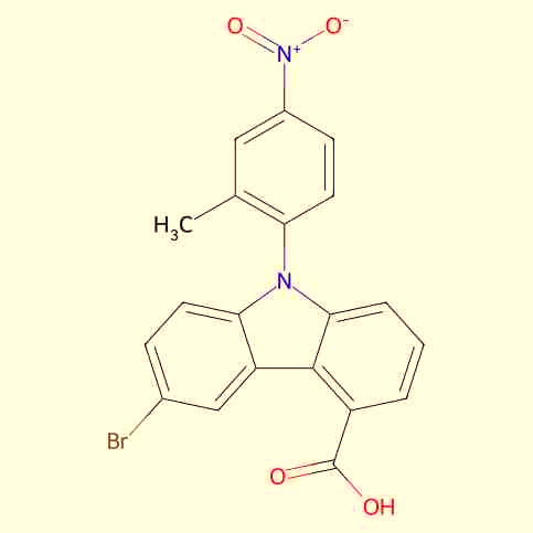 Cc1cc([N+](=O)[O-])ccc1-n1c2ccc(Br)cc2c2c(C(=O)O)cccc21